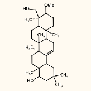 COC1CCC2(C)C3CC=C4C5CC(C)(C)CC(O)C5(C)CC[C@@]4(C)C3(C)CCC2[C@@]1(C)CO